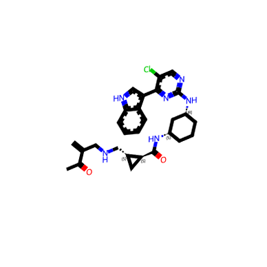 C=C(CNC[C@H]1C[C@@H]1C(=O)N[C@H]1CCC[C@@H](Nc2ncc(Cl)c(-c3c[nH]c4ccccc34)n2)C1)C(C)=O